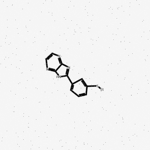 CCSc1cccc(-c2nc3nccnc3[nH]2)c1